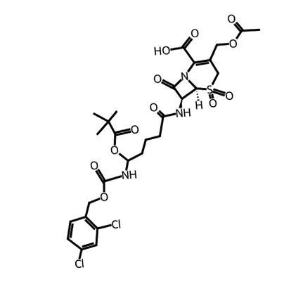 CC(=O)OCC1=C(C(=O)O)N2C(=O)[C@H](NC(=O)CCCC(NC(=O)OCc3ccc(Cl)cc3Cl)OC(=O)C(C)(C)C)[C@@H]2S(=O)(=O)C1